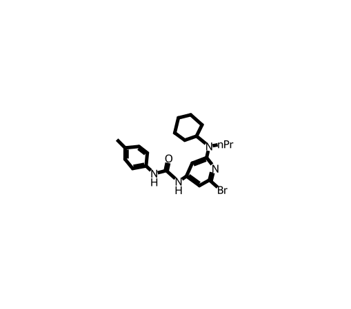 CCCN(c1cc(NC(=O)Nc2ccc(C)cc2)cc(Br)n1)C1CCCCC1